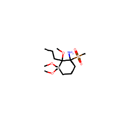 CCCC1(OC)C(N)(S(C)(=O)=O)CCC[Si]1(OC)OC